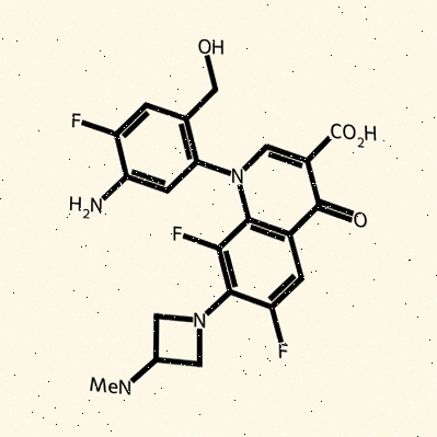 CNC1CN(c2c(F)cc3c(=O)c(C(=O)O)cn(-c4cc(N)c(F)cc4CO)c3c2F)C1